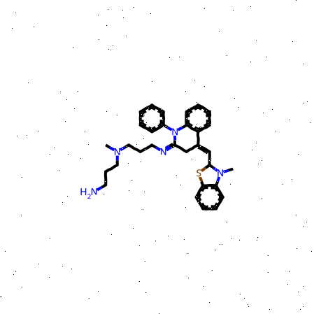 CN(CCCN)CCCN=C1CC(=CC2Sc3ccccc3N2C)c2ccccc2N1c1ccccc1